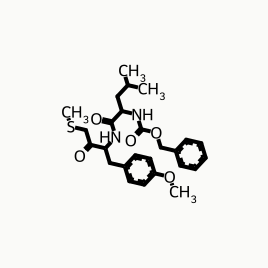 COc1ccc(CC(NC(=O)C(CC(C)C)NC(=O)OCc2ccccc2)C(=O)CSC)cc1